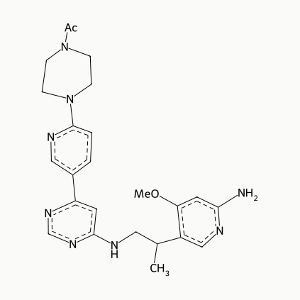 COc1cc(N)ncc1C(C)CNc1cc(-c2ccc(N3CCN(C(C)=O)CC3)nc2)ncn1